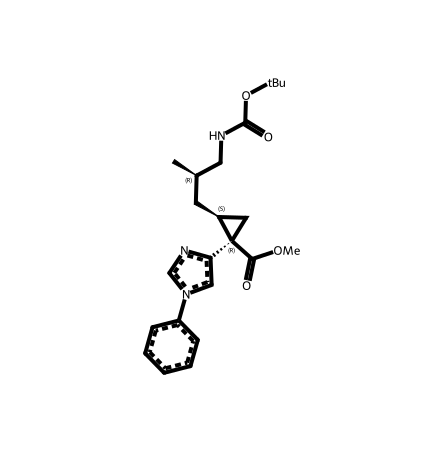 COC(=O)[C@]1(c2cn(-c3ccccc3)cn2)C[C@@H]1C[C@@H](C)CNC(=O)OC(C)(C)C